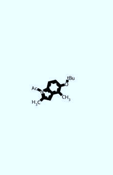 CC(=O)n1c(C)cc2c(C)c(OC(C)(C)C)ccc21